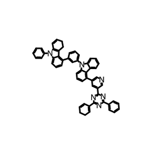 C1=CC(c2nc(-c3ccccc3)nc(-c3cncc(-c4cccc5c4c4ccccc4n5-c4cccc(-c5cccc6c5c5c(n6-c6ccccc6)C=CCC5)c4)c3)n2)=CCC1